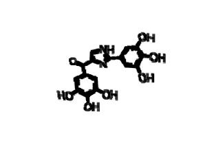 O=C(c1cc(O)c(O)c(O)c1)c1c[nH]c(-c2cc(O)c(O)c(O)c2)n1